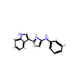 c1ccc(Nc2csc(-c3c[nH]c4ccccc34)n2)cc1